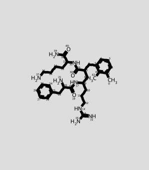 Cc1cccc(CC(CC(CCCNC(=N)N)NC(=O)C(N)Cc2ccccc2)C(=O)NC(CCCCN)C(N)=O)c1C